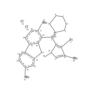 CCC1=[C]([Zr+2](=[C]2CCCCC2)[c]2c(C(C)(C)C)ccc3c2Cc2cc(C(C)(C)C)ccc2-3)C(C)C=C1C(C)(C)C.[Cl-].[Cl-]